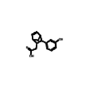 O=C(O)CC1C2C=CC(C2)C1c1cccc(O)c1